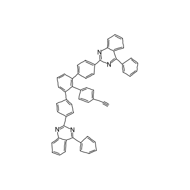 C#Cc1ccc(-c2c(-c3ccc(-c4nc(-c5ccccc5)c5ccccc5n4)cc3)cccc2-c2ccc(-c3nc(-c4ccccc4)c4ccccc4n3)cc2)cc1